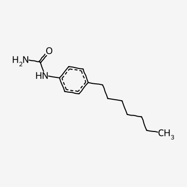 CCCCCCCc1ccc(NC(N)=O)cc1